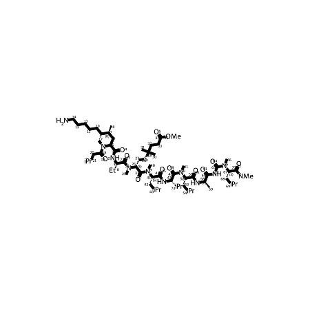 CC[C@H](NC(=O)C(C[C@H](C)CCCCCCN)N(C)C(=O)CC(C)C)C(=O)N(C)[C@H](CSC(C)(C)CCC(=O)OC)C(=O)N(C)[C@@H](CC(C)C)C(=O)N[C@H](C(=O)N(C)[C@@H](CC(C)C)C(=O)N[C@H](C)C(=O)NC(=O)N(C)[C@@H](CC(C)C)C(=O)NC)C(C)C